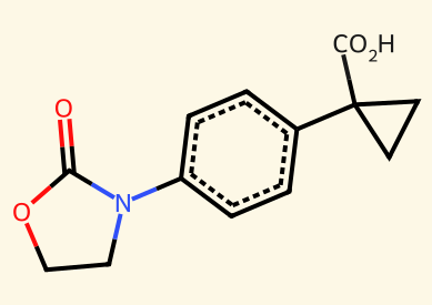 O=C1OCCN1c1ccc(C2(C(=O)O)CC2)cc1